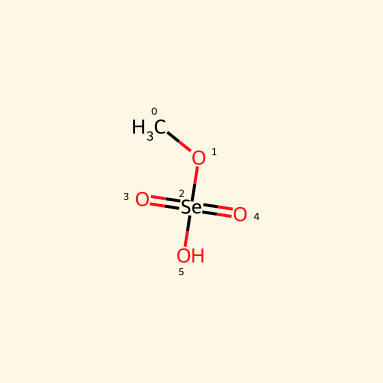 CO[Se](=O)(=O)O